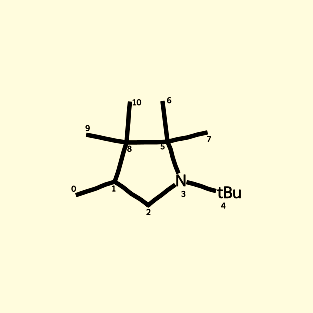 CC1CN(C(C)(C)C)C(C)(C)C1(C)C